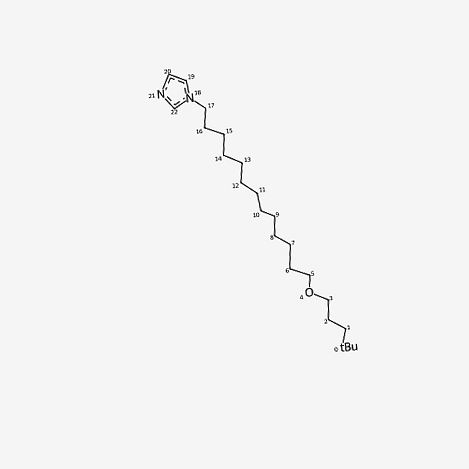 CC(C)(C)CCCOCCCCCCCCCCCCCn1ccnc1